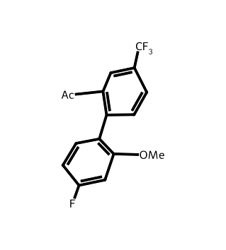 COc1cc(F)ccc1-c1ccc(C(F)(F)F)cc1C(C)=O